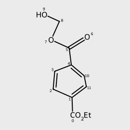 CCOC(=O)c1ccc(C(=O)OCO)cc1